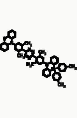 Cc1ccc([Si]2(c3ccc(C)cc3)c3ccccc3N(c3cc(C)c(-c4nnc(-c5c(C)cc(N6c7ccccc7Sc7ccccc76)cc5C)nn4)c(C)c3)c3ccccc32)cc1